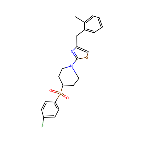 Cc1ccccc1Cc1csc(N2CCC(S(=O)(=O)c3ccc(F)cc3)CC2)n1